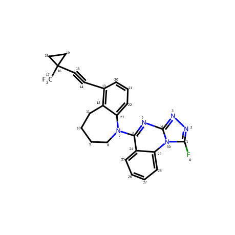 Fc1nnc2nc(N3CCCCc4c(C#CC5(C(F)(F)F)CC5)cccc43)c3ccccc3n12